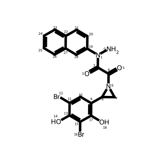 NN(C(=O)C(=O)N1CC1c1cc(Br)c(O)c(Br)c1O)c1ccc2ccccc2c1